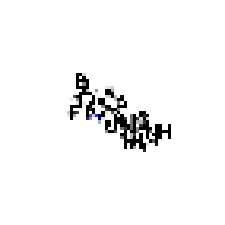 O=C1NCCn2ncc(NC(=O)C3CCCCC3/C=P\c3ccc(Br)cc3F)c21